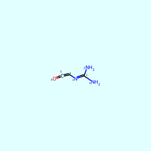 NC(N)=NC=C=O